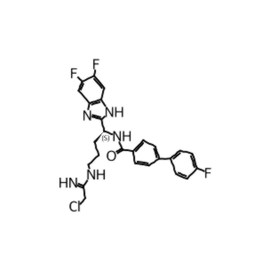 N=C(CCl)NCCC[C@H](NC(=O)c1ccc(-c2ccc(F)cc2)cc1)c1nc2cc(F)c(F)cc2[nH]1